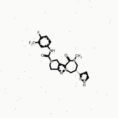 CN1C[C@H](c2cc[nH]n2)Cn2nc3c(c2C1=O)CN(C(=O)Nc1ccc(F)c(C(F)(F)F)c1)CC3